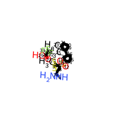 CSc1sc(C(=N)N)cc1S(=O)(=O)c1cccc(-c2cccc(C)c2C)c1.O=C(O)C(F)(F)F